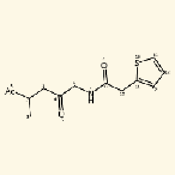 CC(=O)C(C)CC(=O)CNC(=O)Cc1cccs1